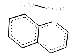 O=C(O)[SiH3].c1ccc2ncccc2c1